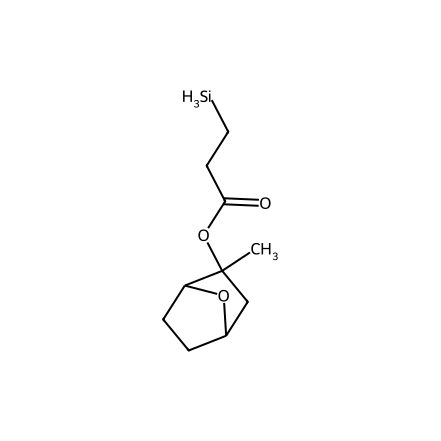 CC1(OC(=O)CC[SiH3])CC2CCC1O2